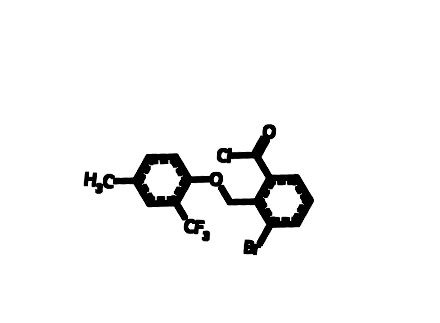 Cc1ccc(OCc2c(Br)cccc2C(=O)Cl)c(C(F)(F)F)c1